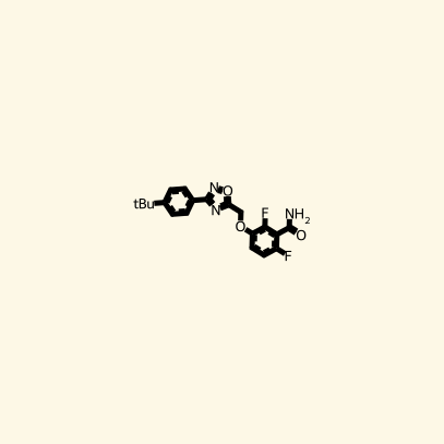 CC(C)(C)c1ccc(-c2noc(COc3ccc(F)c(C(N)=O)c3F)n2)cc1